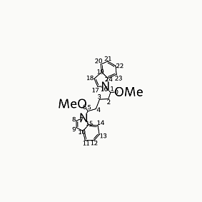 COC(CCCC(OC)n1ccc2ccccc21)n1ccc2ccccc21